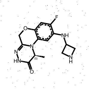 C[C@H]1C(=O)NN=C2COc3cc(F)c(NC4CNC4)cc3N21